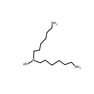 CCCN(CCCCCCN)CCCCCCN